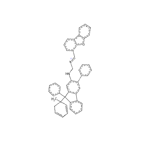 CC1(C2(c3ccccc3)c3ccccc3-c3cc(-c4ccccc4)c(NC/N=C/c4cccc5c4oc4ccccc45)cc32)C=CC=CC1